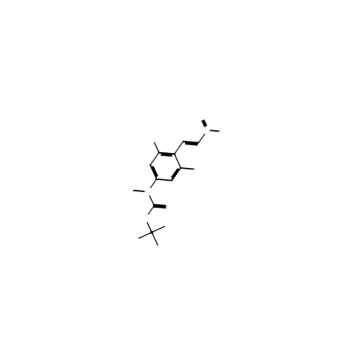 CN(C(=O)OC(C)(C)C)c1cc(F)c(/C=C/[N+](=O)[O-])c(F)c1